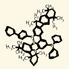 CC(C)(C)c1cc2c3c(c1)C1(C)CCCCC1(C)N3c1cc(N(c3ccccc3)c3ccccc3)cc3c1B2N(c1ccc(-c2ccccc2)cc1)c1cc2c(cc1-3)-c1cc3c(cc1C2(C)C)C(C)(C)CCC3(C)C